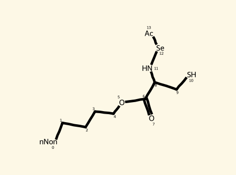 CCCCCCCCCCCCCOC(=O)C(CS)N[Se]C(C)=O